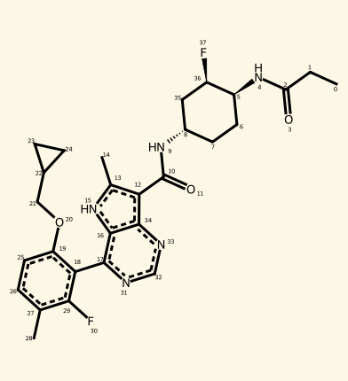 CCC(=O)N[C@H]1CC[C@H](NC(=O)c2c(C)[nH]c3c(-c4c(OCC5CC5)ccc(C)c4F)ncnc23)C[C@H]1F